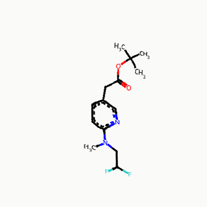 CN(CC(F)F)c1ccc(CC(=O)OC(C)(C)C)cn1